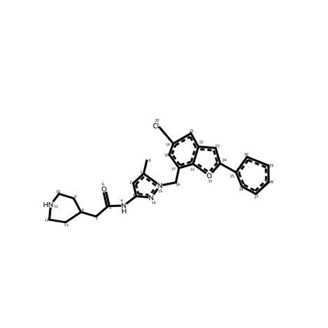 Cc1cc(NC(=O)CC2CCNCC2)nn1Cc1cc(Cl)cc2cc(-c3ccccc3)oc12